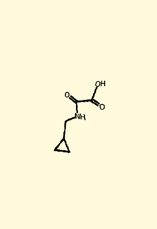 O=C(O)C(=O)NCC1CC1